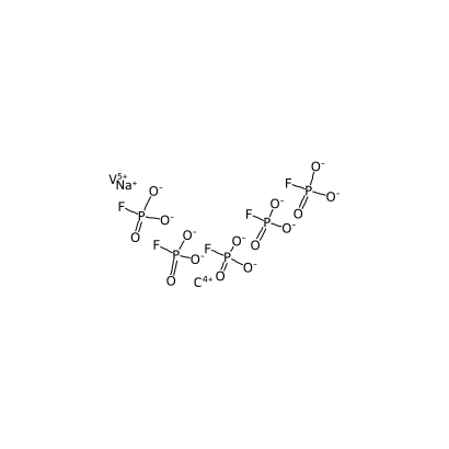 O=P([O-])([O-])F.O=P([O-])([O-])F.O=P([O-])([O-])F.O=P([O-])([O-])F.O=P([O-])([O-])F.[C+4].[Na+].[V+5]